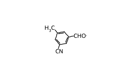 Cc1cc([C]=O)cc(C#N)c1